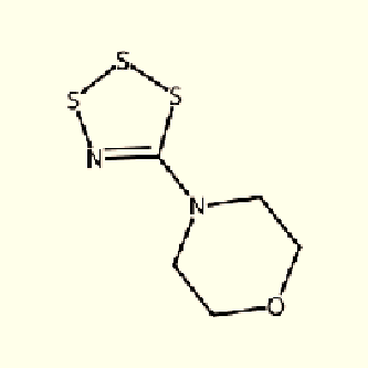 C1CN(C2=NSSS2)CCO1